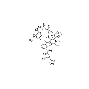 C=CC(=O)OCC(C)(C)C(=O)C(=O)N1CCCC[C@H]1C(=O)OC(CCc1ccc(OC)c(OC)c1)c1cccc(NC(=O)CC(O)C(=O)O)c1